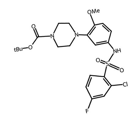 COc1ccc(NS(=O)(=O)c2ccc(F)cc2Cl)cc1N1CCN(C(=O)OC(C)(C)C)CC1